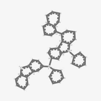 c1ccc(N(c2ccc3oc4ccccc4c3c2)c2ccc3c4c(-c5cccc6ccccc56)cccc4n(-c4ccccc4)c3c2)cc1